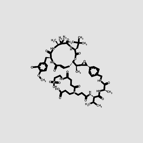 COc1ccc(C[C@@H]2NC(=O)/C=C/C[C@@H]([C@H](C)[C@H]3O[C@@H]3c3ccc(CNC(=O)[C@H](C)NC(=O)[C@@H](NC(=O)CCN(CCC(=O)O)C(=O)CCC(=O)NCCS(=O)(=O)O)C(C)C)cc3)OC(=O)[C@H](CC(C)(C)C)NC(=O)C(C)(C)[C@H](C)NC2=O)cc1Cl